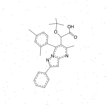 Cc1ccc(-c2c(C(OC(C)(C)C)C(=O)O)c(C)nc3cc(-c4ccccc4)nn23)c(C)c1